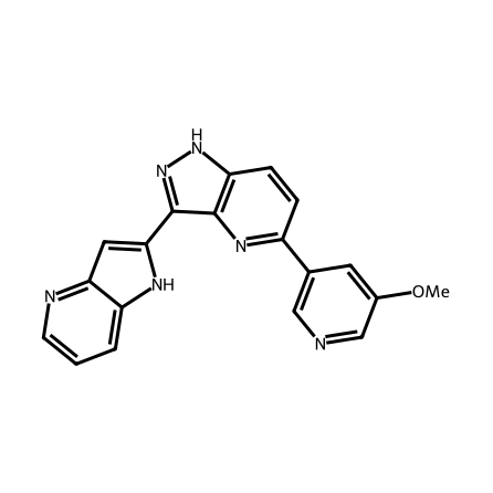 COc1cncc(-c2ccc3[nH]nc(-c4cc5ncccc5[nH]4)c3n2)c1